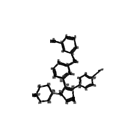 Oc1cccc(Oc2nccc(-c3c(-c4ccc(F)cc4)ncn3C3CCNCC3)n2)c1